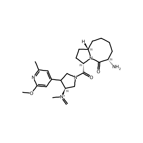 C=[N+](C)[C@@H]1CN(C(=O)[C@@H]2CC[C@@H]3CCCC[C@H](N)C(=O)N32)CC1c1cc(C)nc(OC)c1